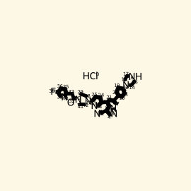 Cl.N#Cc1cnn2cc(-c3ccc(N4CCNCC4)cc3)cc(-c3ccc(N4CCN(C(=O)Cc5ccc(F)cn5)CC4)nc3)c12